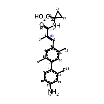 C/C(=C\c1cc(C)c(-c2ccc(N)cc2F)cc1C)C(=O)NC1(C(=O)O)CC1